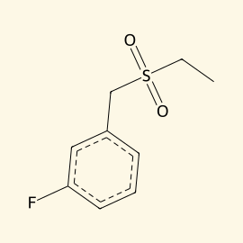 CCS(=O)(=O)Cc1cccc(F)c1